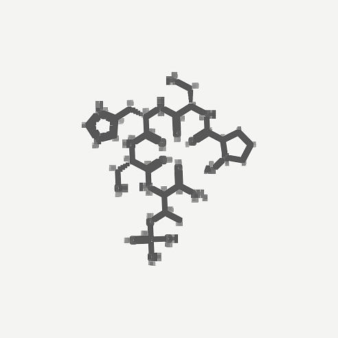 CC(=O)N1CCCC1C(=O)N[C@@H](CC(C)C)C(=O)N[C@@H](Cc1cnc[nH]1)C(=O)N[C@@H](CO)C(=O)NC(C(N)=O)C(C)OP(=O)(O)O